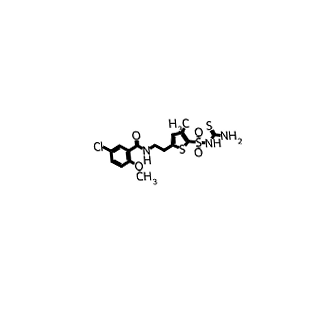 COc1ccc(Cl)cc1C(=O)NCCc1cc(C)c(S(=O)(=O)NC(N)=S)s1